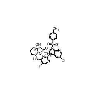 Cc1ccc(S(=O)(=O)n2cc(-c3ncc(F)c(NC4CCC[C@](O)(CS(C)(=O)=O)C4)n3)c3cc(Cl)cnc32)cc1